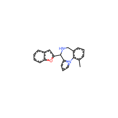 Cc1cccc2c1-n1cccc1C(c1cc3ccccc3o1)NC2